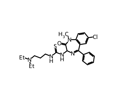 CCN(CC)CCCNC(=S)NC1N=C(c2ccccc2)c2cc(Cl)ccc2N(C)C1=O